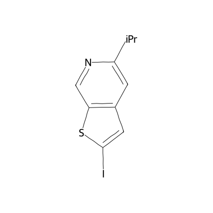 CC(C)c1cc2cc(I)sc2cn1